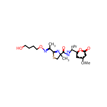 CCC[C@@H](NC(=O)C1(C)CSC(/C(C)=N/OCCCCO)=N1)c1cc(OC)cc(=O)o1